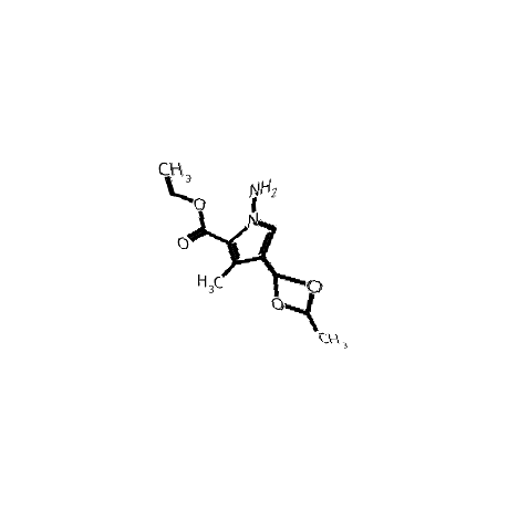 CCOC(=O)c1c(C)c(C2OC(C)O2)cn1N